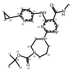 CNC(=O)c1cnc(N2CCCN(C(=O)OC(C)(C)C)CC2)nc1Nc1ccc(C2CC2)nc1